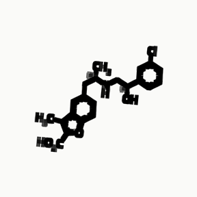 Cc1c(C(=O)O)oc2ccc(C[C@@H](C)NC[C@H](O)c3cccc(Cl)c3)cc12